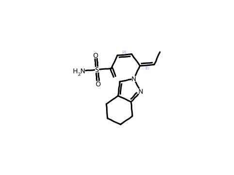 C=C(/C=C\C(=C/C)n1cc2c(n1)CCCC2)S(N)(=O)=O